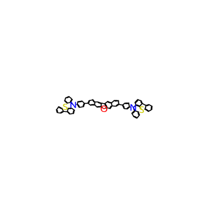 c1ccc(N(c2ccc(-c3ccc4cc5c(cc4c3)oc3cc4cc(-c6ccc(N(c7ccccc7)c7cccc8c7sc7ccccc78)cc6)ccc4cc35)cc2)c2cccc3c2sc2ccccc23)cc1